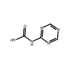 CCCC(=O)Nc1ncncn1